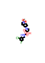 CS(=O)(=O)n1ccc2cc(N3CCC(O)(OC(=O)NCc4cc(F)cc(Cl)c4)C3=O)ccc21